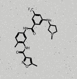 Cc1cc(C(=O)Nc2cc(NC(=O)c3cc(NC4CCN(C)C4)cc(C(F)(F)F)c3)ccc2C)no1